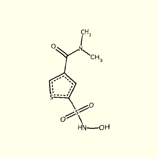 CN(C)C(=O)c1csc(S(=O)(=O)NO)c1